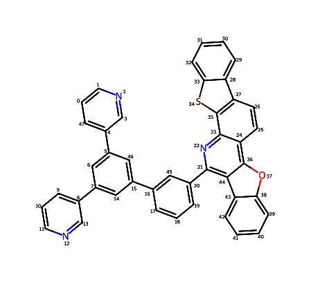 c1cncc(-c2cc(-c3cccnc3)cc(-c3cccc(-c4nc5c(ccc6c7ccccc7sc65)c5oc6ccccc6c45)c3)c2)c1